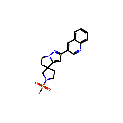 CC(C)S(=O)(=O)N1CCC2(CCn3nc(-c4cnc5ccccc5c4)cc32)C1